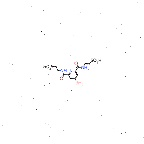 Bc1cc(C(=O)NCCS(=O)(=O)O)nc(C(=O)NCCS(=O)(=O)O)c1